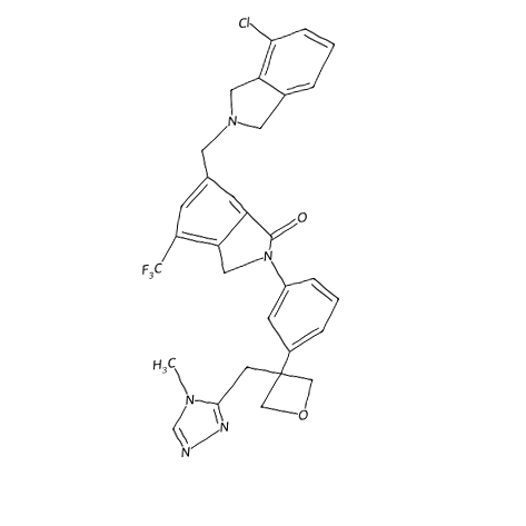 Cn1cnnc1CC1(c2cccc(N3Cc4c(cc(CN5Cc6cccc(Cl)c6C5)cc4C(F)(F)F)C3=O)c2)COC1